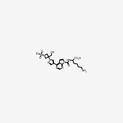 CCS(=O)(=O)N1CC(CC#N)(n2cc(-c3ncnc4c3ccn4C(=O)NC(CCCCN)C(=O)O)cn2)C1